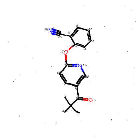 CC(C)(C)C(=O)c1ccc(Oc2ccccc2C#N)nc1